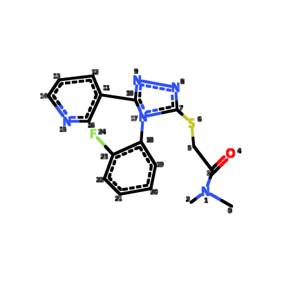 CN(C)C(=O)CSc1nnc(-c2cccnc2)n1-c1ccccc1F